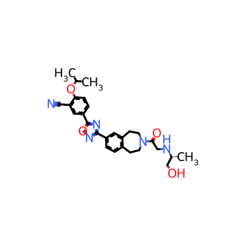 CC(C)Oc1ccc(-c2nc(-c3ccc4c(c3)CCN(C(=O)CN[C@H](C)CO)CC4)no2)cc1C#N